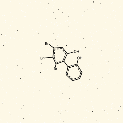 Oc1ccccc1-c1c(O)cc(Br)c(Br)c1Br